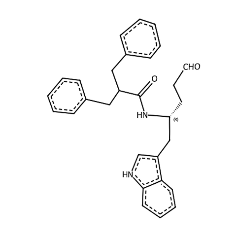 O=CCC[C@H](Cc1c[nH]c2ccccc12)NC(=O)C(Cc1ccccc1)Cc1ccccc1